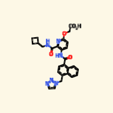 O=C(O)COc1ccc(NC(=O)c2ccc(Cn3ccnn3)c3ccccc23)c(C(=O)NCC2CCC2)n1